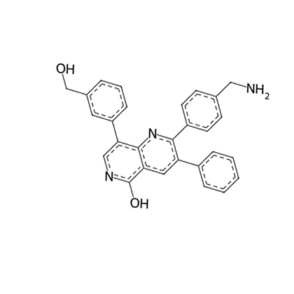 NCc1ccc(-c2nc3c(-c4cccc(CO)c4)cnc(O)c3cc2-c2ccccc2)cc1